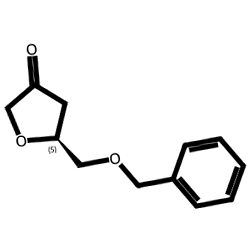 O=C1CO[C@H](COCc2ccccc2)C1